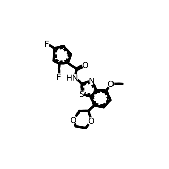 COc1ccc(C2COCCO2)c2sc(NC(=O)c3ccc(F)cc3F)nc12